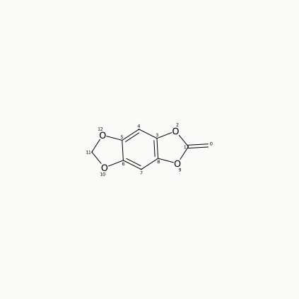 C=C1Oc2cc3c(cc2O1)OCO3